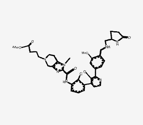 COC(=O)CCCN1CCc2c(nc(C(=O)Nc3cccc(-c4ccnc(-c5ccc(CNCC6CCC(=O)N6)c(OC)c5)c4Cl)c3Cl)n2C)C1